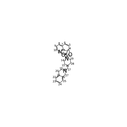 O=S(=O)(c1cccc2cccnc12)N1CCC(CN2CCc3ccccc3C2)CC1